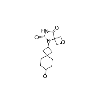 O=C1CCC2(CC1)CC(N1C(=O)NC(=O)C13COC3)C2